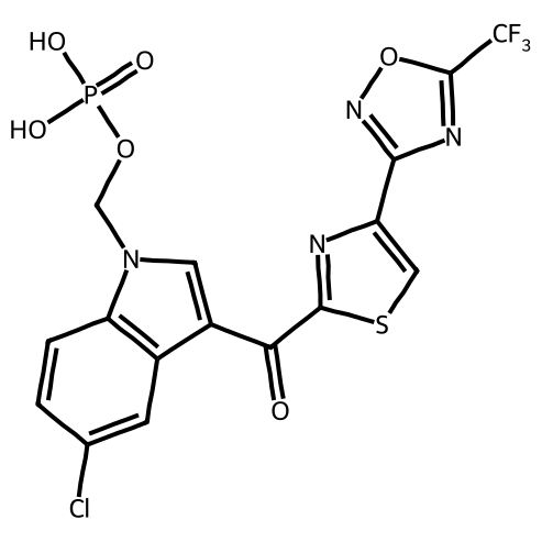 O=C(c1nc(-c2noc(C(F)(F)F)n2)cs1)c1cn(COP(=O)(O)O)c2ccc(Cl)cc12